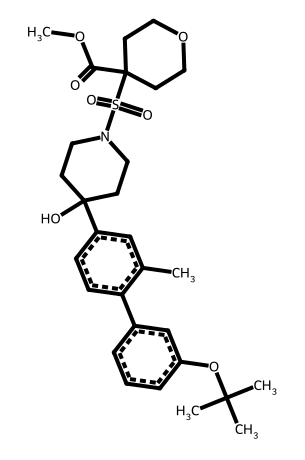 COC(=O)C1(S(=O)(=O)N2CCC(O)(c3ccc(-c4cccc(OC(C)(C)C)c4)c(C)c3)CC2)CCOCC1